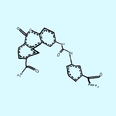 NC(=O)c1cccc(NC(=O)Nc2ccc3oc(=O)c4ccc(C(N)=O)cc4c3c2)c1